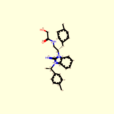 Cc1ccc(C[C@@H](CNC(=O)CO)n2c(=N)n([C@H](C)c3ccc(C)cc3)c3ccccc32)cc1